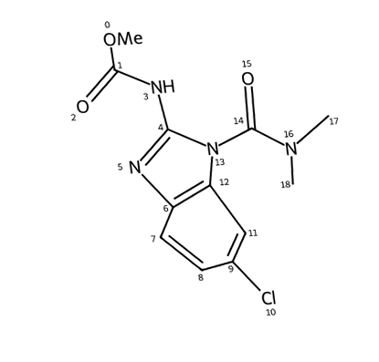 COC(=O)Nc1nc2ccc(Cl)cc2n1C(=O)N(C)C